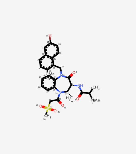 CNC(C)C(=O)N[C@@H]1C(=O)N(Cc2c(OC)ccc3cc(Br)ccc23)c2ccccc2N(C(=O)CS(C)(=O)=O)[C@H]1C